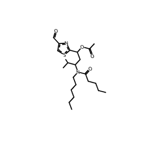 CCCCCCN(C(=O)CCCC)C(CC(OC(C)=O)c1nc(C=O)cs1)C(C)C